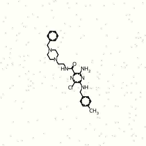 Cc1ccc(CNc2nc(N)c(C(=O)NCCN3CCN(Cc4ccccc4)CC3)nc2Cl)cc1